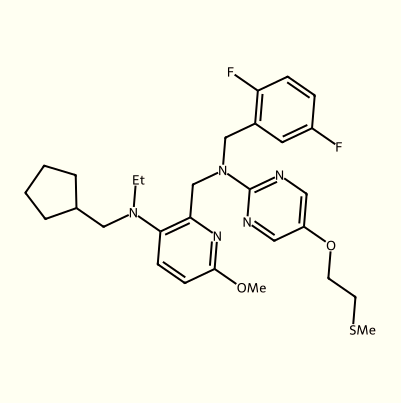 CCN(CC1CCCC1)c1ccc(OC)nc1CN(Cc1cc(F)ccc1F)c1ncc(OCCSC)cn1